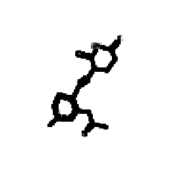 CC(=O)Cc1cc(C)ccc1C#CC1CCC(=O)NC1=O